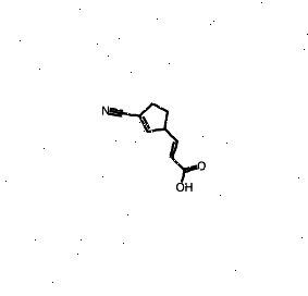 N#CC1=CC(/C=C/C(=O)O)CC1